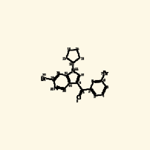 O=C(c1cccc(Br)c1)c1cn(C2CCCC2)c2cc(Br)ncc12